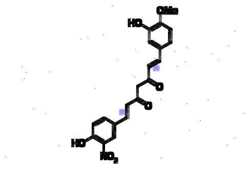 COc1ccc(/C=C/C(=O)CC(=O)/C=C/c2ccc(O)c([N+](=O)[O-])c2)cc1O